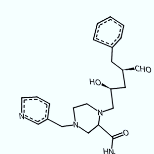 CC(C)(C)NC(=O)C1CN(Cc2cccnc2)CCN1C[C@@H](O)C[C@H](C=O)Cc1ccccc1